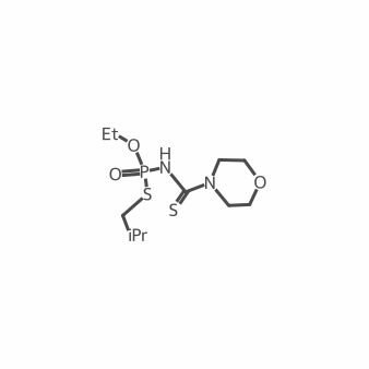 CCOP(=O)(NC(=S)N1CCOCC1)SCC(C)C